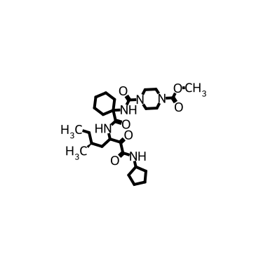 CC[C@H](C)CC(NC(=O)C1(NC(=O)N2CCN(C(=O)OC)CC2)CCCCC1)C(=O)C(=O)NC1CCCC1